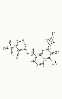 Cc1c(=O)n(C23CC(F)(C2)C3)cc2c(NCc3cccc(C(F)(F)C(C)C)c3F)ncnc12